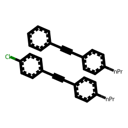 CCCc1ccc(C#Cc2ccc(Cl)cc2)cc1.CCCc1ccc(C#Cc2ccccc2)cc1